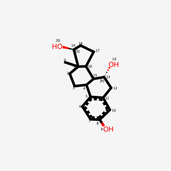 CC12CCC3c4ccc(O)cc4C[C@@H](O)C3C1CC[C@@H]2O